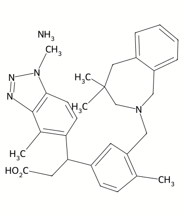 Cc1ccc(C(CC(=O)O)c2ccc3c(nnn3C)c2C)cc1CN1Cc2ccccc2CC(C)(C)C1.N